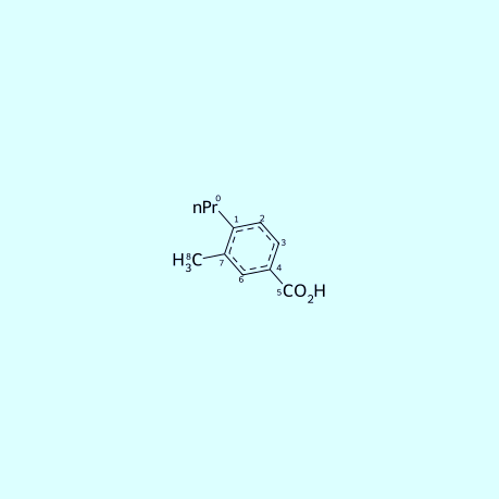 CCCc1ccc(C(=O)O)cc1C